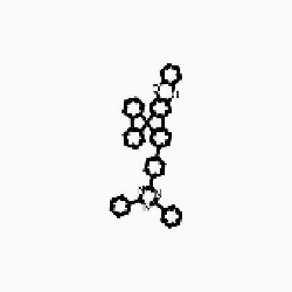 c1ccc(-c2nc(-c3ccccc3)nc(-c3ccc(-c4ccc5c(c4)C4(c6ccccc6-c6ccccc64)c4cc6c(cc4-5)Oc4ccccc4O6)cc3)n2)cc1